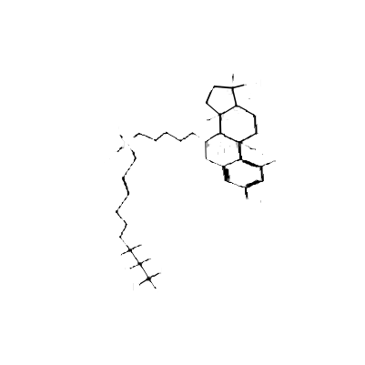 C[C@]1(O)CC[C@H]2[C@@H]3[C@H](CCCCC[N+](C)([O-])CCCCCCC(F)(F)C(F)(F)C(F)(F)C(F)(F)F)Cc4cc(O)cc(F)c4[C@H]3CC[C@@]21C